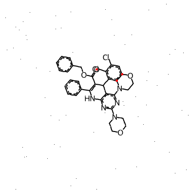 O=C(OCc1ccccc1)C1=C(c2ccccc2)Nc2nc(N3CCOCC3)nc(N3CCOCC3)c2C1c1cccc(Cl)c1Cl